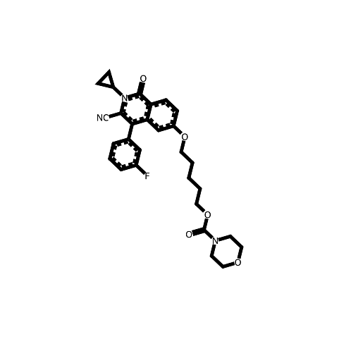 N#Cc1c(-c2cccc(F)c2)c2cc(OCCCCCOC(=O)N3CCOCC3)ccc2c(=O)n1C1CC1